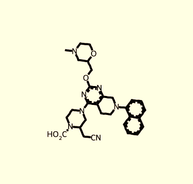 CN1CCOC(COc2nc3c(c(N4CCN(C(=O)O)C(CC#N)C4)n2)CCN(c2cccc4ccccc24)C3)C1